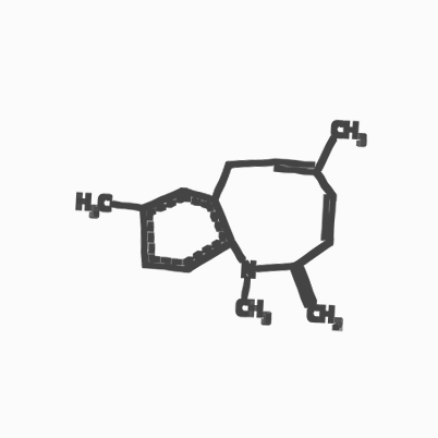 C=C1/C=C\C(C)=C/Cc2cc(C)ccc2N1C